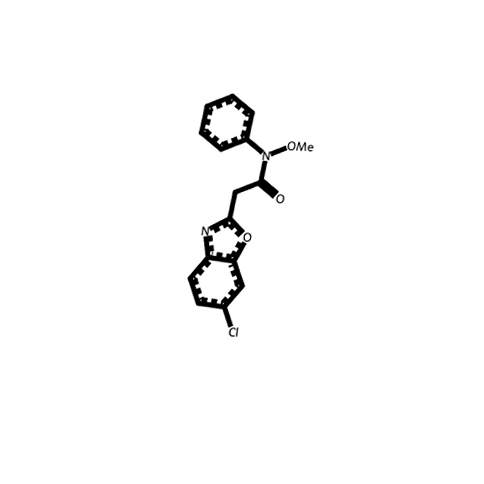 CON(C(=O)Cc1nc2ccc(Cl)cc2o1)c1ccccc1